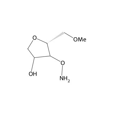 COC[C@H]1OCC(O)C1ON